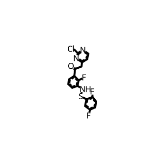 O=C(Cc1ccnc(Cl)n1)c1cccc(NSc2cc(F)ccc2F)c1F